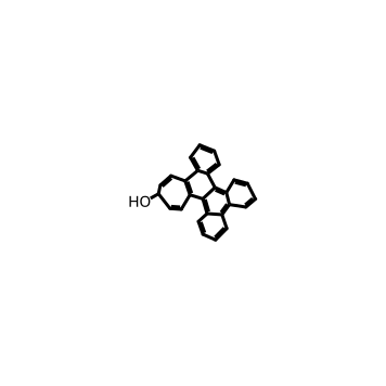 OC1C=Cc2c(c3c4ccccc4c4ccccc4c3c3ccccc23)C=C1